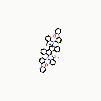 Cc1ccccc1N(c1cccc2c1OC1C=CC=CC21)c1cc2c3ccccc3c(N(c3ccccc3C)c3cccc4c3OC3C=CC=CC43)cc2c2ccccc12